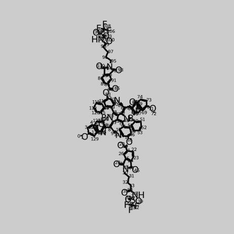 COc1ccc2oc(/C(C#N)=c3/c4c(-c5ccc(OC(=O)c6ccc7c(c6)C(=O)N(CCCCC(=O)NS(=O)(=O)C(F)(F)F)C7=O)cc5)n(B(c5ccccc5)c5ccccc5)/c(=C(/C#N)c5nc6cc(OC)ccc6o5)c4c(-c4ccc(OC(=O)c5ccc6c(c5)C(=O)N(CCCCC(=O)NS(=O)(=O)C(F)(F)F)C6=O)cc4)n3B(c3ccccc3)c3ccccc3)nc2c1